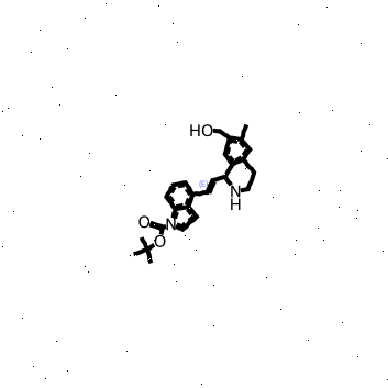 Cc1cc2c(cc1CO)C(/C=C/c1cccc3c1ccn3C(=O)OC(C)(C)C)NCC2